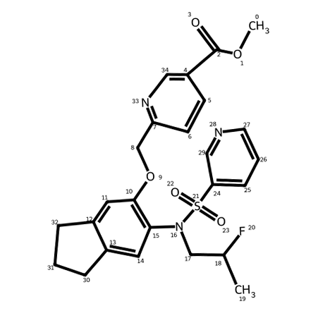 COC(=O)c1ccc(COc2cc3c(cc2N(CC(C)F)S(=O)(=O)c2cccnc2)CCC3)nc1